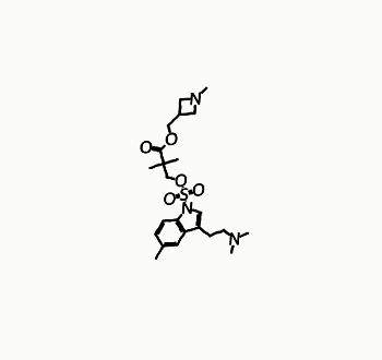 Cc1ccc2c(c1)c(CCN(C)C)cn2S(=O)(=O)OCC(C)(C)C(=O)OCC1CN(C)C1